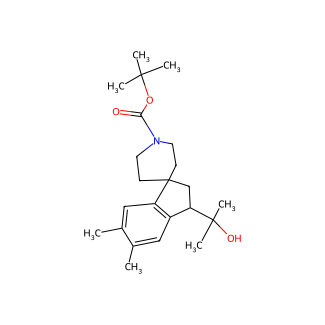 Cc1cc2c(cc1C)C1(CCN(C(=O)OC(C)(C)C)CC1)CC2C(C)(C)O